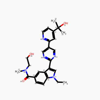 CCn1cc(-c2ncc(-c3cc(C(C)(C)O)ccn3)cn2)c2cc(C(=O)N(C)CCO)ccc21